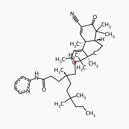 CCCC(C)(C)CC[C@](C)(CCC(=O)Nc1ccccn1)CCC(C)(C)[C@]1(C)CC[C@H]2C(C)(C)C(=O)C(C#N)=C[C@]2(C)/C1=C/C(C)=O